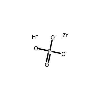 O=P([O-])([O-])[O-].[H+].[Zr]